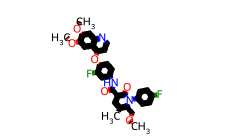 COCc1c(C)cc(C(=O)Nc2ccc(Oc3ccnc4cc(OC)c(OC)cc34)c(F)c2)c(=O)n1-c1ccc(F)cc1